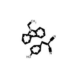 C=Cn1c2ccccc2c2ccccc21.N#CC(C#N)=Cc1ccc(O)cc1